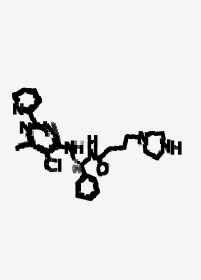 Cc1nc(-c2ccccn2)nc(NC[C@H](NC(=O)CCCN2CCNCC2)c2ccccc2)c1Cl